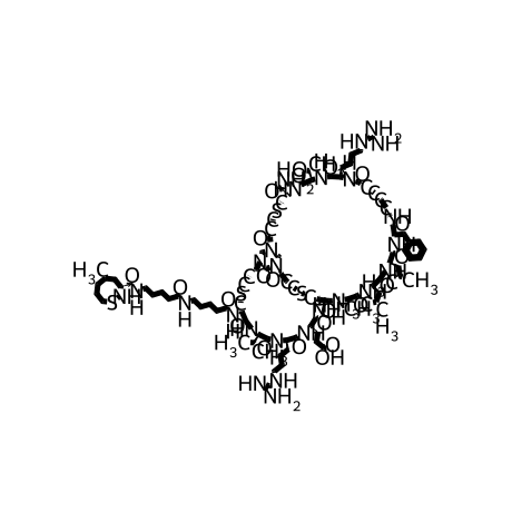 CC(C)C[C@H]1NC(=O)[C@@H](C)NC(=O)[C@H]2CSCCC(=O)N3CN(CN(C3)C(=O)CCSC[C@@H](NC(=O)CCCCNC(=O)CCCCNC(=O)[C@H]3CC(C)CCCSN3)C(=O)N[C@H](C(C)C)C(=O)N[C@H](CCCCNC(=N)N)C(=O)N[C@@H](CCC(=O)O)C(=O)N2)C(=O)CCSC[C@H](C(N)=O)NC(=O)[C@@H](C(C)O)NC(=O)[C@@H](CCCCNC(=N)N)NC(=O)CCCCNC(=O)C(Cc2ccccc2)NC(=O)[C@@H](CC(C)C)NC1=O